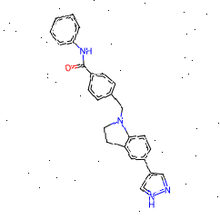 O=C(Nc1ccccc1)c1ccc(CN2CCc3cc(-c4cn[nH]c4)ccc32)cc1